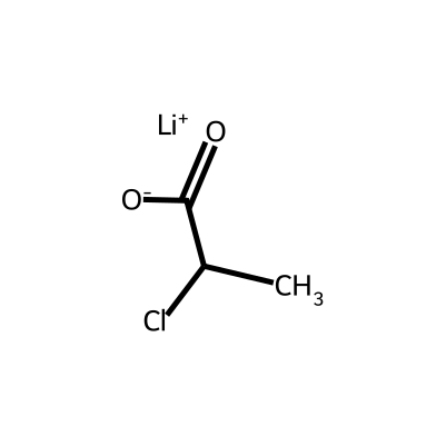 CC(Cl)C(=O)[O-].[Li+]